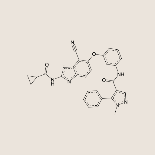 Cn1ncc(C(=O)Nc2cccc(Oc3ccc4nc(NC(=O)C5CC5)sc4c3C#N)c2)c1-c1ccccc1